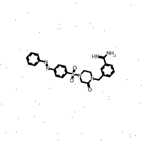 N=C(N)c1cccc(CN2CCN(S(=O)(=O)c3ccc(N=Nc4ccccc4)cc3)CC2=O)c1